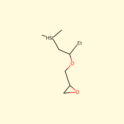 CCC(C[SiH](C)C)OCC1CO1